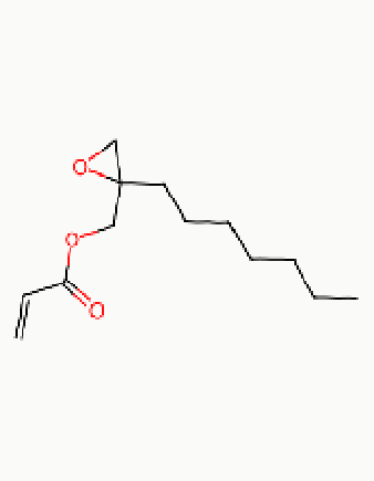 C=CC(=O)OCC1(CCCCCCC)CO1